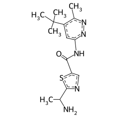 Cc1nnc(NC(=O)c2cnc(C(C)N)s2)cc1C(C)(C)C